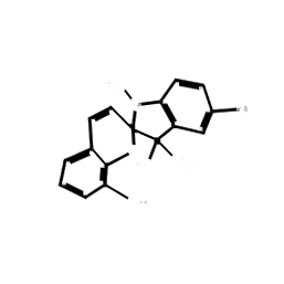 COc1cccc2c1OC1(C=C2)N(C)c2ccc(N)cc2C1(C)C